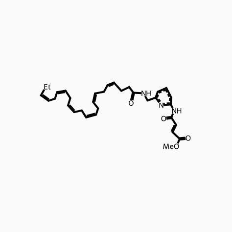 CC/C=C\C/C=C\C/C=C\C/C=C\C/C=C\C/C=C\CCC(=O)NCc1cccc(NC(=O)/C=C/C(=O)OC)n1